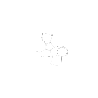 C=Cc1c(C2(OC)NCCc3ccccc32)n(C(=O)O)c2ccccc12